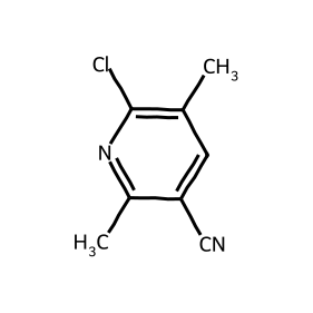 Cc1cc(C#N)c(C)nc1Cl